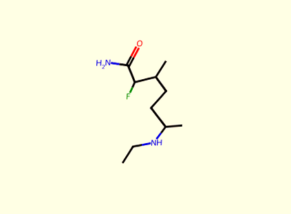 CCNC(C)CCC(C)C(F)C(N)=O